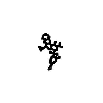 CN(C)C1CN(S(=O)(=O)c2ccc(Cl)cc2Cl)C2CN(C3CC3)C(=O)C(Cc3cccnc3)N2C1=O